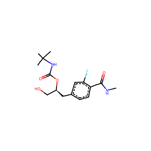 CNC(=O)c1ccc(C[C@@H](CO)OC(=O)NC(C)(C)C)cc1F